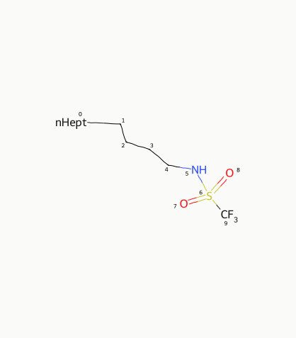 CCCCCCCCCCCNS(=O)(=O)C(F)(F)F